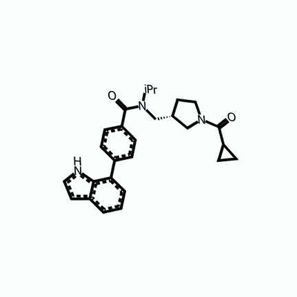 CC(C)N(C[C@@H]1CCN(C(=O)C2CC2)C1)C(=O)c1ccc(-c2cccc3cc[nH]c23)cc1